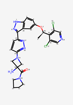 C[C@@H](Oc1ccc2[nH]nc(-c3ccc(N4CC(N)(C(=O)N5CCCC5)C4)nn3)c2c1)c1c(Cl)cncc1Cl